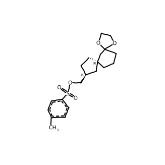 Cc1ccc(S(=O)(=O)OC[C@H]2CC[C@]3(CCCC4(C3)OCCO4)C2)cc1